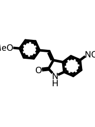 COc1ccc(C=C2C(=O)Nc3ccc([N+](=O)[O-])cc32)cc1